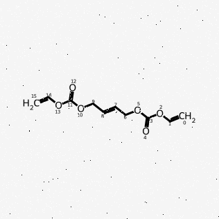 C=COC(=O)OCC=CCOC(=O)OC=C